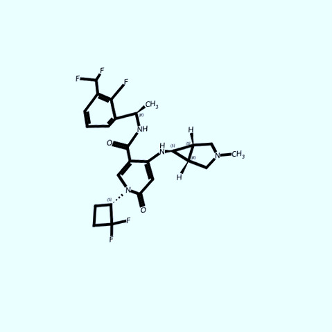 C[C@@H](NC(=O)c1cn([C@H]2CCC2(F)F)c(=O)cc1N[C@H]1[C@@H]2CN(C)C[C@@H]21)c1cccc(C(F)F)c1F